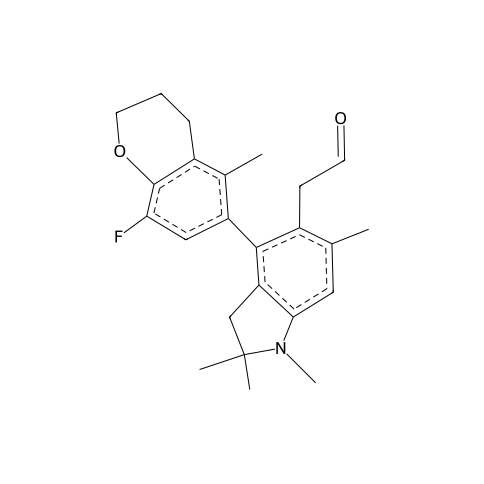 Cc1cc2c(c(-c3cc(F)c4c(c3C)CCCO4)c1CC=O)CC(C)(C)N2C